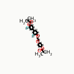 C=C(C)C(=O)Oc1ccc(OCCOc2ccc(-c3ccc(OC(=O)C(=C)C)c(F)c3)cc2F)cc1